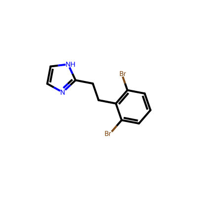 Brc1cccc(Br)c1CCc1ncc[nH]1